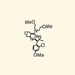 COCCN(CCOC)c1c2c(nc3c(-c4ccc(OC)cc4Cl)c(C)nn13)COC2